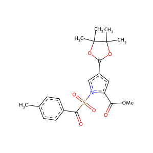 COC(=O)c1cc(B2OC(C)(C)C(C)(C)O2)cn1S(=O)(=O)C(=O)c1ccc(C)cc1